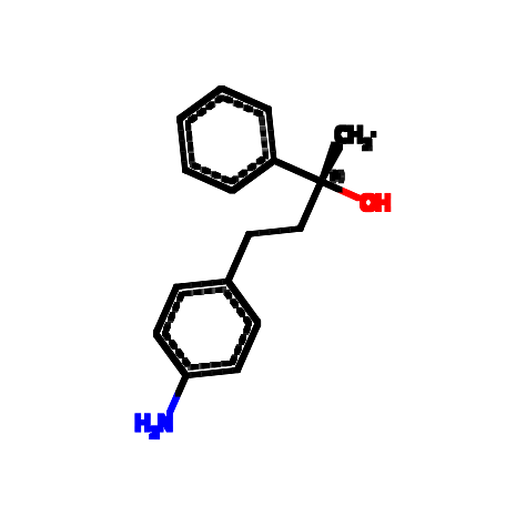 [CH2][C@@](O)(CCc1ccc(N)cc1)c1ccccc1